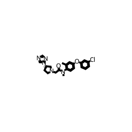 Cc1cc(Oc2cccc(Cl)c2)ccc1N(C)C(=O)CN1CC[C@H](n2cncn2)C1